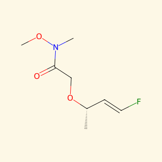 CON(C)C(=O)CO[C@@H](C)C=CF